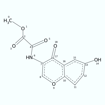 COC(=O)C(=O)Nc1coc2ccc(O)cc2c1=O